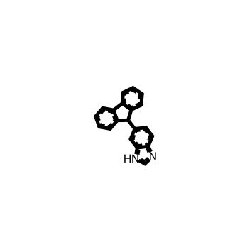 c1ccc2c(c1)-c1ccccc1C2c1ccc2nc[nH]c2c1